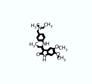 CCC(Nc1ccc(CN(C)CC)cc1)=C1C(=O)Nc2cc(OC)c(OC)cc21